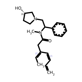 C=C/C=C\C(=C/C)CC(=O)N(C)C(CN1CC[C@H](O)C1)c1ccccc1